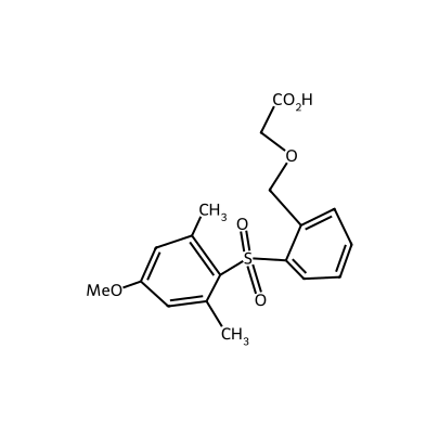 COc1cc(C)c(S(=O)(=O)c2ccccc2COCC(=O)O)c(C)c1